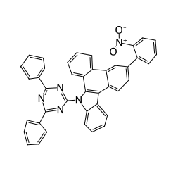 O=[N+]([O-])c1ccccc1-c1ccc2c(c1)c1ccccc1c1c2c2ccccc2n1-c1nc(-c2ccccc2)nc(-c2ccccc2)n1